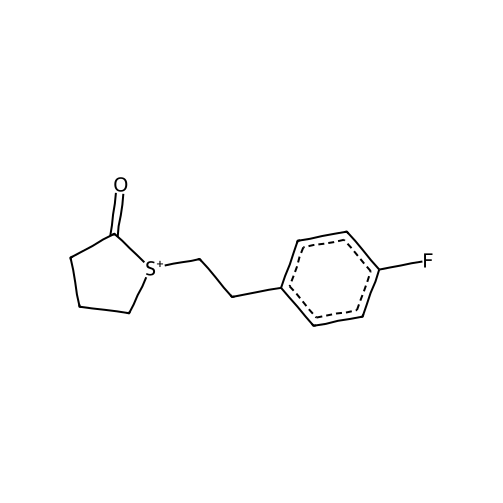 O=C1CCC[S+]1CCc1ccc(F)cc1